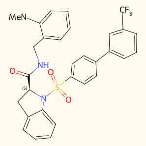 CNc1ccccc1CNC(=O)[C@@H]1Cc2ccccc2N1S(=O)(=O)c1ccc(-c2cccc(C(F)(F)F)c2)cc1